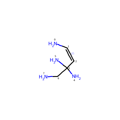 N/C=C\C(N)(N)CN